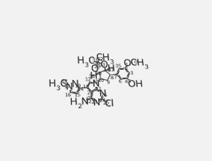 COc1cc(O)cc([C@H]2C[C@@H](n3cc(-c4ccn(C)n4)c4c(N)nc(Cl)nc43)[C@@H]3OC(C)(C)O[C@@H]32)c1